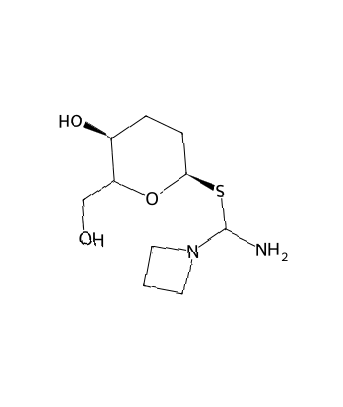 NC(S[C@@H]1CC[C@H](O)C(CO)O1)N1CCC1